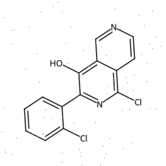 Oc1c(-c2ccccc2Cl)nc(Cl)c2ccncc12